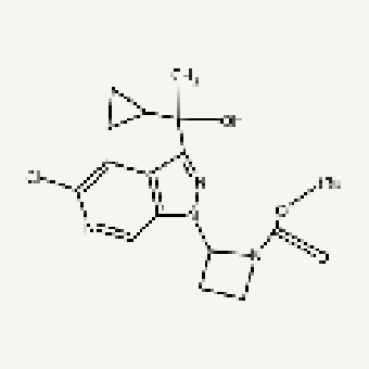 CC(C)(C)OC(=O)N1CCC1n1nc(C(C)(O)C2CC2)c2cc(Cl)ncc21